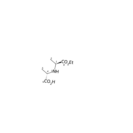 CCOC(=O)[C@H](C)N[C@@H](C)C(=O)O